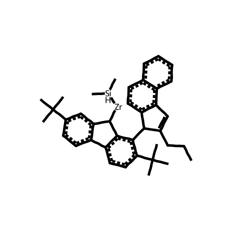 CCCC1=Cc2c(ccc3ccccc23)C1c1c(C(C)(C)C)ccc2c1[CH]([Zr][SiH](C)C)c1cc(C(C)(C)C)ccc1-2